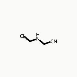 N#CCNCCl